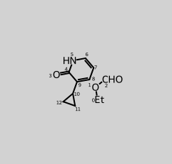 CCOC=O.O=c1[nH]cccc1C1CC1